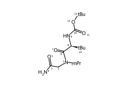 CCCN(CC(N)=O)C(=O)[C@@H](NC(=O)OC(C)(C)C)C(C)(C)C